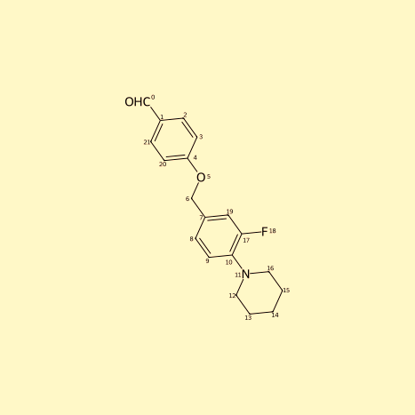 O=Cc1ccc(OCc2ccc(N3CCCCC3)c(F)c2)cc1